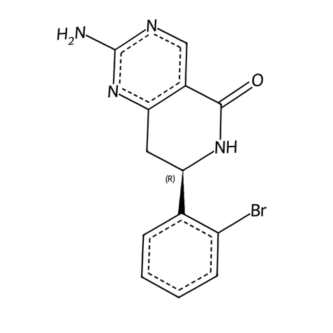 Nc1ncc2c(n1)C[C@H](c1ccccc1Br)NC2=O